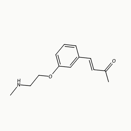 CNCCOc1cccc(/C=C/C(C)=O)c1